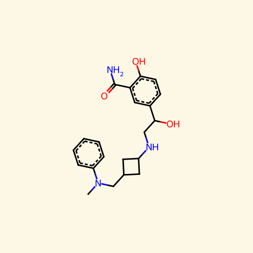 CN(CC1CC(NCC(O)c2ccc(O)c(C(N)=O)c2)C1)c1ccccc1